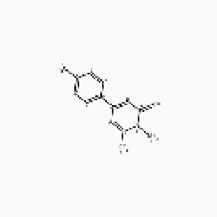 Nn1c(C(F)(F)F)cc(-c2ccc(C(F)(F)F)cc2)cc1=S